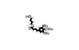 COc1c(C(C)(C)C)cc(CCCC(=O)OCCCCO)cc1C(C)(C)C